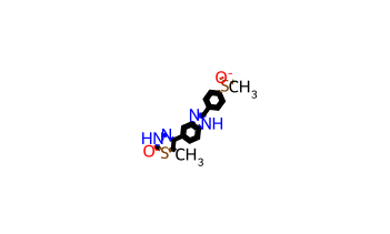 CC1SC(=O)NN=C1c1ccc2[nH]c(-c3ccc([S+](C)[O-])cc3)nc2c1